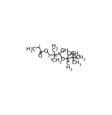 CCC(=O)OCC(C)(C)C(O)OC(C)(C)C(C)(C)C